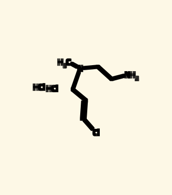 CN(CC=CCl)CCN.Cl.Cl